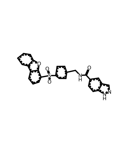 O=C(NCc1ccc(S(=O)(=O)c2cccc3c2oc2ccccc23)cc1)c1ccc2[nH]ncc2c1